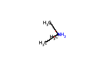 CCCCCCCCCCCCCCC(N)(CC)CCCCCCCCCCCCCC